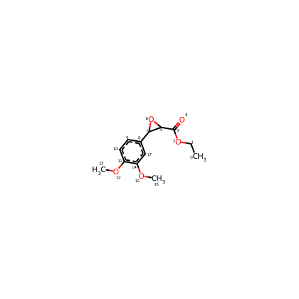 CCOC(=O)C1OC1c1ccc(OC)c(OC)c1